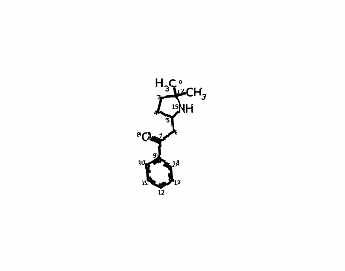 CC1(C)CCC(CC(=O)c2ccccc2)N1